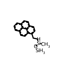 C[SiH](CCc1ccc2ccc3cccc4ccc1c2c34)O[SiH3]